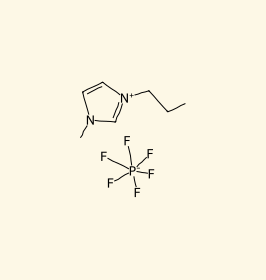 CCC[n+]1ccn(C)c1.F[P-](F)(F)(F)(F)F